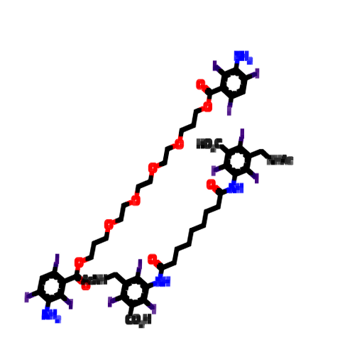 CC(=O)NCc1c(I)c(NC(=O)CCCCCCCC(=O)Nc2c(I)c(CNC(C)=O)c(I)c(C(=O)O)c2I)c(I)c(C(=O)O)c1I.Nc1c(I)cc(I)c(C(=O)OCCCOCCOCCOCCOCCCOC(=O)c2c(I)cc(I)c(N)c2I)c1I